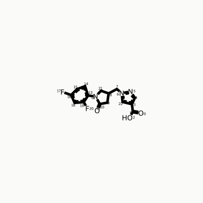 O=C(O)c1cnn(CC2CC(=O)N(c3ccc(F)cc3F)C2)c1